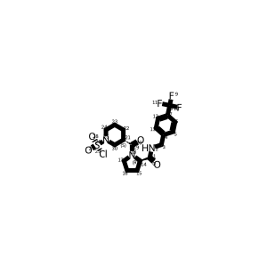 O=C(NCc1ccc(C(F)(F)F)cc1)[C@H]1CCCN1C(=O)[C@H]1CCCN(S(=O)(=O)Cl)C1